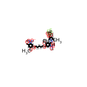 COc1cc(C=O)c([N+](=O)[O-])cc1OCCCCCOc1cc([N+](=O)[O-])c(C(=O)N2C=C(OS(=O)(=O)C(F)(F)F)C[C@H]2C)cc1OC